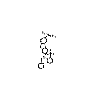 CN(C)c1ccc2c(c1)-c1ccc(N(Cc3ccccc3)c3ccccc3C(F)(F)F)cc1C2